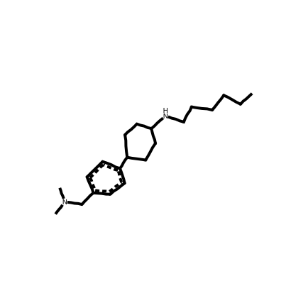 CCCCCCNC1CCC(c2ccc(CN(C)C)cc2)CC1